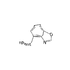 [CH2]CCCCc1cccc2ocnc12